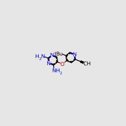 C#Cc1cc(Oc2cnc(N)nc2N)c(C(C)(C)C)cn1